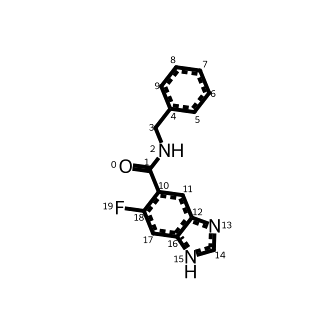 O=C(NCc1ccccc1)c1cc2nc[nH]c2cc1F